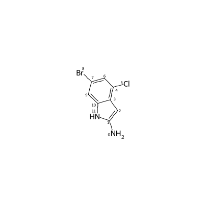 Nc1cc2c(Cl)cc(Br)cc2[nH]1